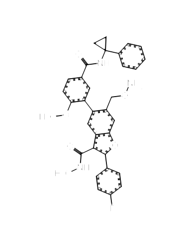 CNC(=O)c1c(-c2ccc(F)cc2)oc2cc(CON)c(-c3cc(C(=O)NC4(c5ccccc5)CC4)ccc3OC)cc12